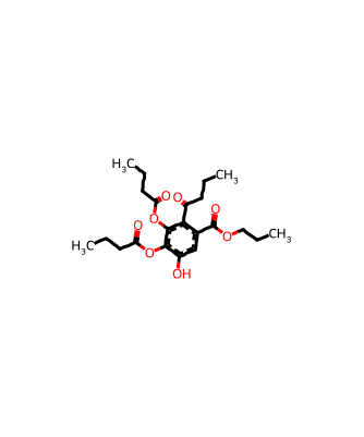 CCCOC(=O)c1cc(O)c(OC(=O)CCC)c(OC(=O)CCC)c1C(=O)CCC